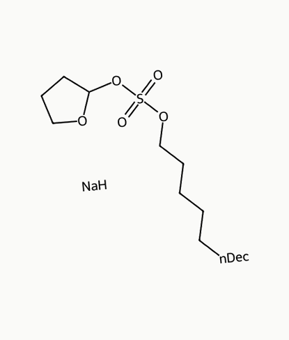 CCCCCCCCCCCCCCCOS(=O)(=O)OC1CCCO1.[NaH]